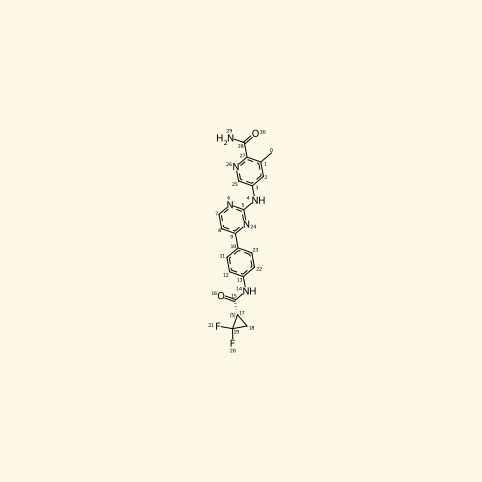 Cc1cc(Nc2nccc(-c3ccc(NC(=O)[C@@H]4CC4(F)F)cc3)n2)cnc1C(N)=O